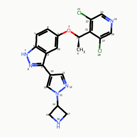 C[C@@H](Oc1ccc2[nH]nc(-c3cnn(C4CNC4)c3)c2c1)c1c(Cl)cncc1Cl